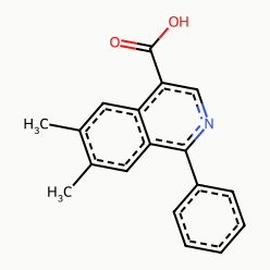 Cc1cc2c(C(=O)O)cnc(-c3ccccc3)c2cc1C